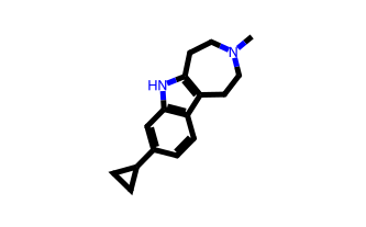 CN1CCc2[nH]c3cc(C4CC4)ccc3c2CC1